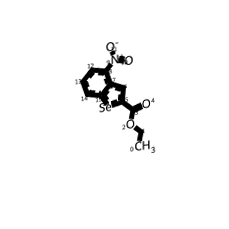 CCOC(=O)c1cc2c([N+](=O)[O-])cccc2[se]1